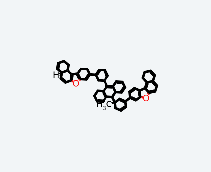 CC1(C2C3=C(CCC=C3)C(C3C=CC=C(C4=Cc5oc6c(c5CC4)C4CCC=C[C@H]4C=C6)C3)=C3C=CC=CC32)C=C(c2ccc3c(c2)oc2ccc4c(c23)CCC=C4)C=CC1